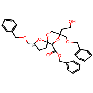 O=C(OCc1ccccc1)C1OC(CCO)(COCc2ccccc2)COC12CC[C@H](COCc1ccccc1)O2